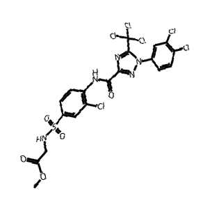 COC(=O)CNS(=O)(=O)c1ccc(NC(=O)c2nc(C(Cl)(Cl)Cl)n(-c3ccc(Cl)c(Cl)c3)n2)c(Cl)c1